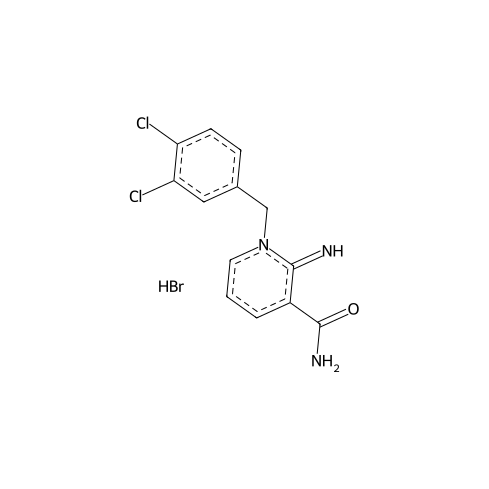 Br.N=c1c(C(N)=O)cccn1Cc1ccc(Cl)c(Cl)c1